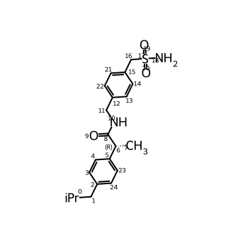 CC(C)Cc1ccc([C@@H](C)C(=O)NCc2ccc(CS(N)(=O)=O)cc2)cc1